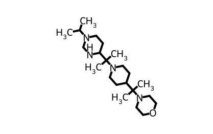 CC(C)N1CCC(C(C)(C)N2CCC(C(C)(C)N3CCOCC3)CC2)NC1